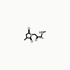 CN[C@@H](C)C(=O)CN1C(=O)CC(C)C1=O